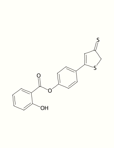 O=C(Oc1ccc(C2=CC(=S)CS2)cc1)c1ccccc1O